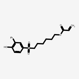 C=CC(=O)OCCCCCCS(=O)(=O)c1ccc(O)c(C(C)C)c1